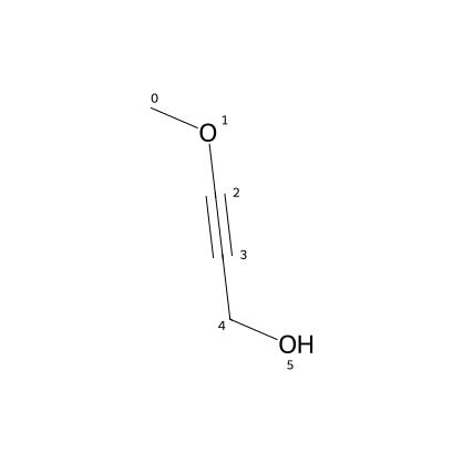 COC#CCO